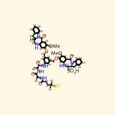 COc1cc2c(cc1OCc1cc(COc3cc4c(cc3OC)C(=O)N3c5ccccc5C[C@H]3CN4)cc(NC(=O)[C@H](C)NC(=O)[C@H](C)NC(=O)CCC(C)(C)S)c1)N[C@H](S(=O)(=O)O)C1Cc3ccccc3N1C2=O